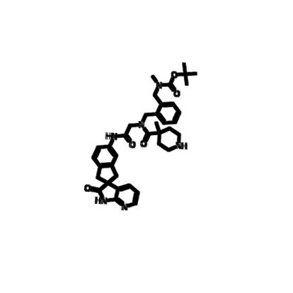 CN(Cc1ccccc1CN(CC(=O)Nc1ccc2c(c1)CC1(C2)C(=O)Nc2ncccc21)C(=O)C1(C)CCNCC1)C(=O)OC(C)(C)C